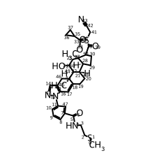 CSCCNC(=O)c1cccc(-n2ncc3c2C=C2CC[C@@H]4[C@H]([C@@H](O)C[C@@]5(C)[C@H]4CC[C@]5(OC(=O)C4CC4)C(=O)SCC#N)[C@@]2(C)C3)c1